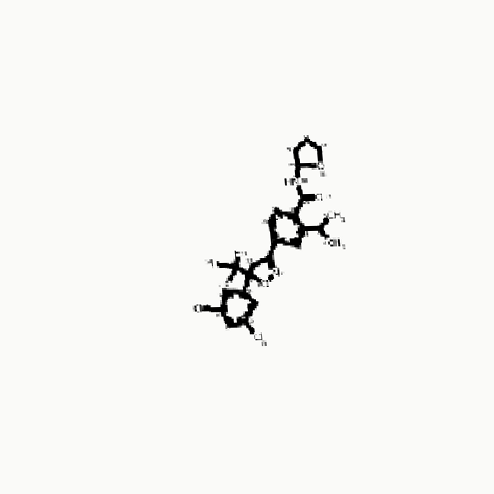 CC(C)c1cc(C2=NOC(c3cc(Cl)cc(Cl)c3)(C(F)(F)F)C2)ccc1C(=O)NC1CCCO1